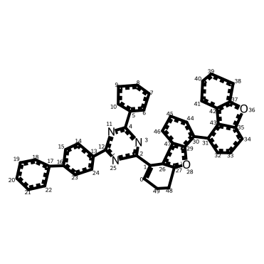 C1=C(c2nc(-c3ccccc3)nc(-c3ccc(-c4ccccc4)cc3)n2)c2c(oc3c(-c4cccc5oc6ccccc6c45)cccc23)CC1